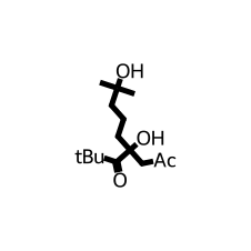 CC(=O)CC(O)(CCCC(C)(C)O)C(=O)C(C)(C)C